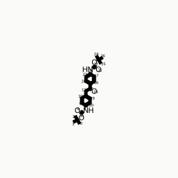 CC(C)(C)OC(=O)Nc1ccc(CC(=O)c2ccc(NC(=O)OC(C)(C)C)cc2)cc1